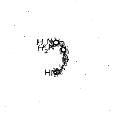 Nc1ccc(Oc2ccc(OCCCCC3CCNC3)cc2)cc1N